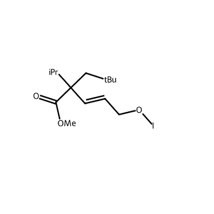 COC(=O)C(C=CCOI)(CC(C)(C)C)C(C)C